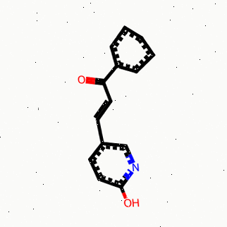 O=C(C=Cc1ccc(O)nc1)c1ccccc1